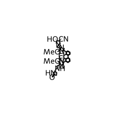 COc1nc(-c2cccc(-c3cccc(-c4cnc(CN5C[C@H](O)[C@@H](C#N)C5)c(OC)n4)c3Cl)c2Cl)cnc1CNC[C@@H]1CCC(=O)N1